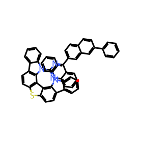 c1ccc(-c2ccc3ccc(-c4nc(-n5c6ccccc6c6ccc7sc8ccc9c%10ccccc%10n(-c%10ccccc%10)c9c8c7c65)nc5ccccc45)cc3c2)cc1